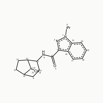 CC(C)n1nc(C(=O)NC2CCC3CCC2N3C)c2ccccc21